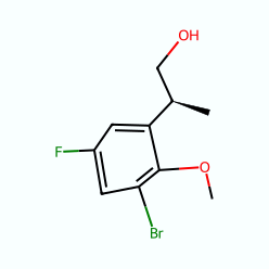 COc1c(Br)cc(F)cc1[C@H](C)CO